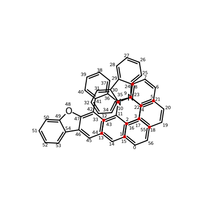 c1ccc(-c2ccccc2N(c2ccccc2-c2ccccc2-n2c3ccccc3c3ccccc32)c2ccccc2-c2cccc3c2oc2ccccc23)cc1